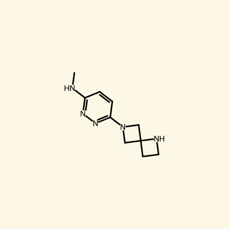 CNc1ccc(N2CC3(CCN3)C2)nn1